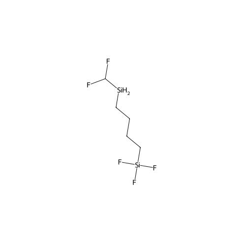 FC(F)[SiH2]CCCC[Si](F)(F)F